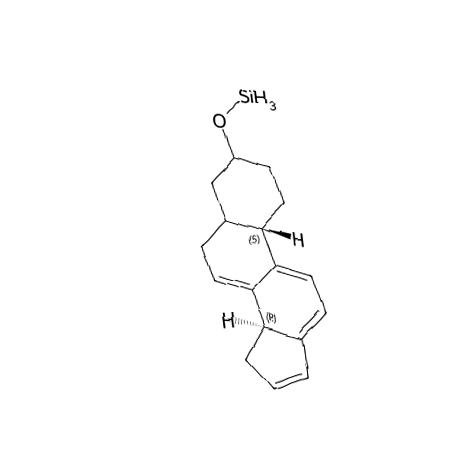 [SiH3]OC1CC[C@@H]2C3=CC=C4C=CC[C@H]4C3=CCC2C1